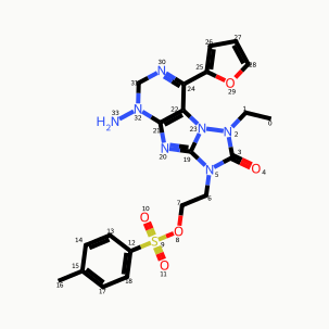 CCn1c(=O)n(CCOS(=O)(=O)c2ccc(C)cc2)c2nc3c(n21)C(c1ccco1)=NCN3N